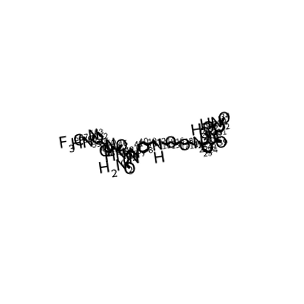 NC(=O)c1nn(-c2ccc(CNCCOCCOCCNc3cccc4c3C(=O)N(C3CCC(=O)NC3=O)C4=O)cc2)cc1NC(=O)c1coc(-c2ccnc(NCC(F)(F)F)c2)n1